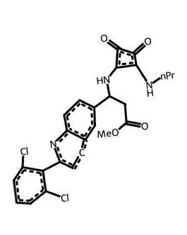 CCCNc1c(NC(CC(=O)OC)c2ccc3nc(-c4c(Cl)cccc4Cl)ccc3c2)c(=O)c1=O